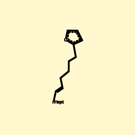 CCCCCCCC=CCCCCc1ccco1